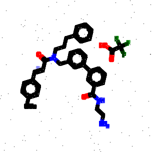 COc1ccc(/C=C/C(=O)N(CCCc2ccccc2)Cc2cccc(-c3cccc(C(=O)NCCN)c3)c2)cc1.O=C(O)C(F)(F)F